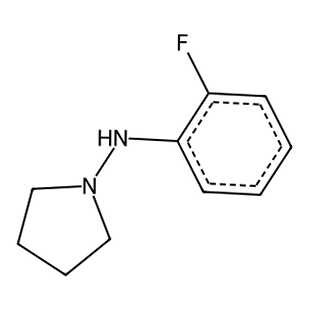 Fc1ccccc1NN1CCCC1